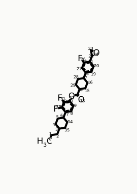 CCCC1CCC(c2ccc(OC(=O)C3CCC(c4ccc(C5CO5)c(F)c4)CC3)c(F)c2F)CC1